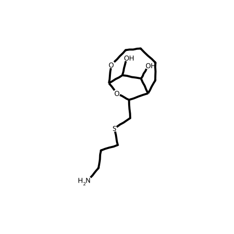 NCCCSCC1OC2OCCCCC1C(O)C2O